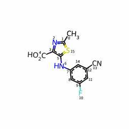 Cc1nc(C(=O)O)c(Nc2cc(F)cc(C#N)c2)s1